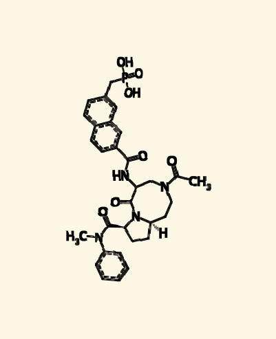 CC(=O)N1CC[C@H]2CC[C@@H](C(=O)N(C)c3ccccc3)N2C(=O)C(NC(=O)c2ccc3ccc(CP(=O)(O)O)cc3c2)C1